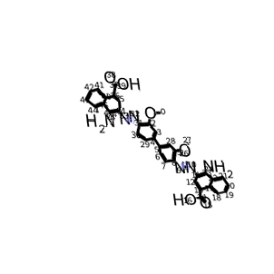 COc1cc(-c2ccc(/N=N/c3cc(C(=O)O)c4ccccc4c3N)c(OC)c2)ccc1/N=N/c1cc(C(=O)O)c2ccccc2c1N